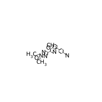 COc1c(-c2cnc(N3CC(C)OC(C)C3)nc2)cnc2c(-c3ccc(C#N)cc3)cccc12